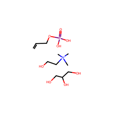 C=CCOP(=O)(O)O.C[N+](C)(C)CCO.OCC(O)CO